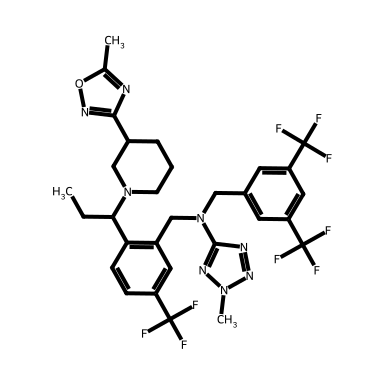 CCC(c1ccc(C(F)(F)F)cc1CN(Cc1cc(C(F)(F)F)cc(C(F)(F)F)c1)c1nnn(C)n1)N1CCCC(c2noc(C)n2)C1